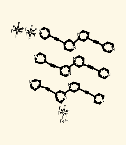 C(#Cc1ccnc(-c2cc(C#Cc3ccncc3)ccn2)c1)c1ccncc1.C(#Cc1ccnc(-c2cc(C#Cc3ccncc3)ccn2)c1)c1ccncc1.C(#Cc1ccnc(-c2cc(C#Cc3ccncc3)ccn2)c1)c1ccncc1.F[P-](F)(F)(F)(F)F.F[P-](F)(F)(F)(F)F.F[P-](F)(F)(F)(F)F.[Fe+3]